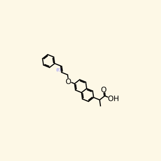 CC(C(=O)O)c1ccc2cc(OC/C=C/c3ccccc3)ccc2c1